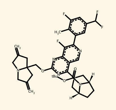 C=C1CN2CC(=C)CC2(COc2nc(N3C[C@H]4CC[C@@H](C3)N4C(=O)OC(C)(C)C)c3cnc(-c4cc(C(F)F)cc(F)c4C)c(F)c3n2)C1